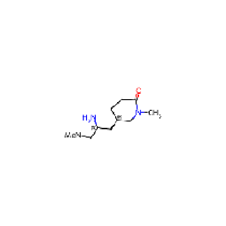 CNC[C@@H](N)C[C@H]1CCC(=O)N(C)C1